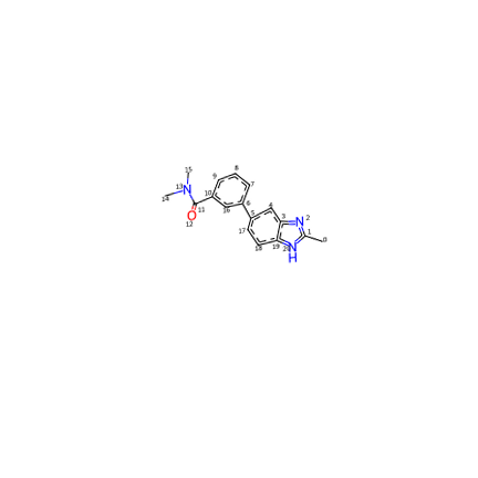 Cc1nc2cc(-c3cccc(C(=O)N(C)C)c3)ccc2[nH]1